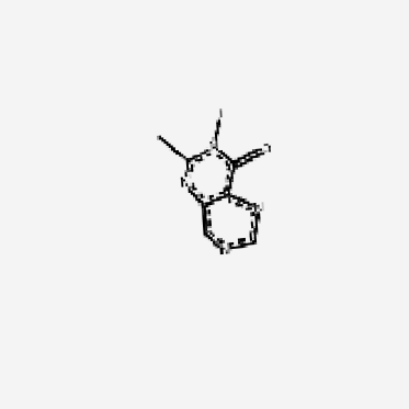 Cc1nc2cncnc2c(=O)n1I